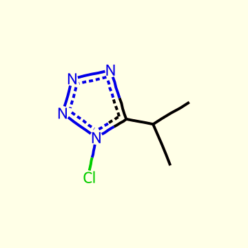 CC(C)c1nnnn1Cl